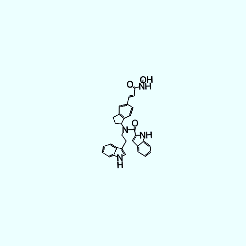 O=C(C=Cc1ccc2c(c1)CCC2N(CCc1c[nH]c2ccccc12)C(=O)c1cc2ccccc2[nH]1)NO